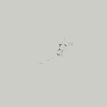 CCCCCC[Se]c1nc2nc(N)[nH]c(=O)c2s1